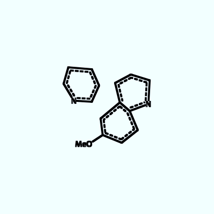 COc1ccc2ncccc2c1.c1ccncc1